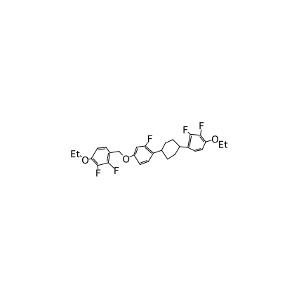 CCOc1ccc(COc2ccc(C3CCC(c4ccc(OCC)c(F)c4F)CC3)c(F)c2)c(F)c1F